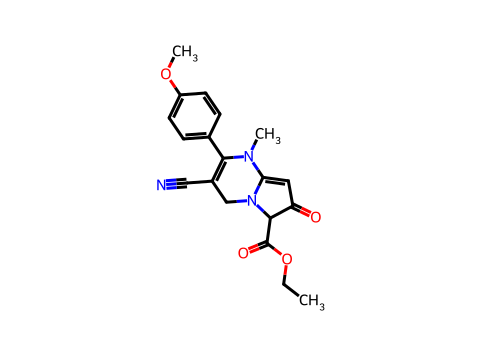 CCOC(=O)C1C(=O)C=C2N(C)C(c3ccc(OC)cc3)=C(C#N)CN21